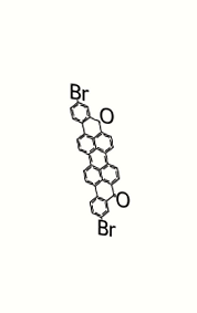 O=C1c2cc(Br)ccc2-c2ccc3c4ccc5c6c(ccc(c7ccc1c2c73)c64)C(=O)c1cc(Br)ccc1-5